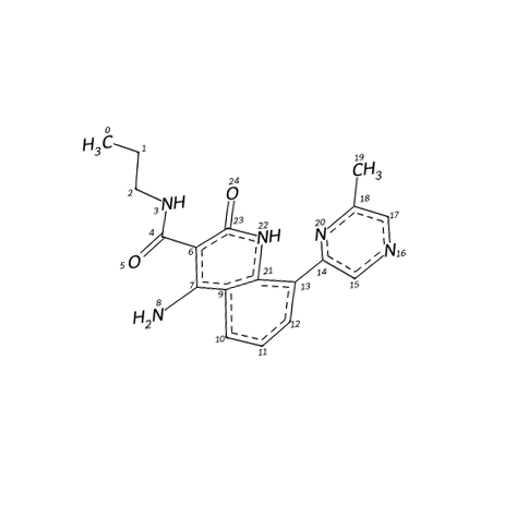 CCCNC(=O)c1c(N)c2cccc(-c3cncc(C)n3)c2[nH]c1=O